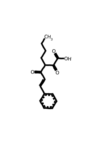 CCCCC(C(=O)/C=C/c1ccccc1)C(=O)C(=O)O